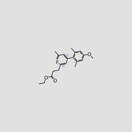 C=C(C)/C=C(\C=C(/F)CCC(=O)OCC)c1c(C)cc(OC)cc1C